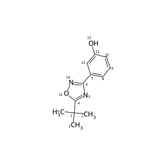 CC(C)(C)c1nc(-c2cccc(O)c2)no1